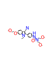 CCn1c(-c2ccc(NC(=O)N(CCOC)CCOC)cc2)c(C#N)c2ccc(OCCOC)cc21